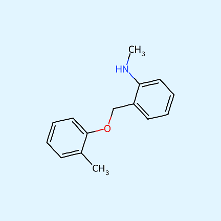 CNc1ccccc1COc1ccccc1C